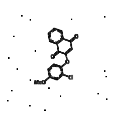 COc1ccc(OC2=CC(=O)c3ccccc3C2=O)c(Cl)c1